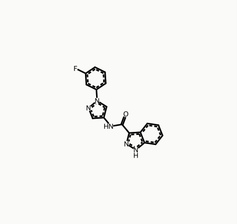 O=C(Nc1cnn(-c2cccc(F)c2)c1)c1n[nH]c2ccccc12